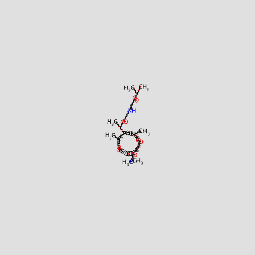 CCCCCC(CCCCC)CCCOC(=O)CCCCCCCNCCCCCCCC(=O)OCCCC(CCCCC)CCCC1CC2CCCCC(CCCCC)CCCOC(=O)CCCCCCCN(C(=O)CCCN(C)C)CCCCCCCC(=O)OCCCC(CCCCC)CCCCC21